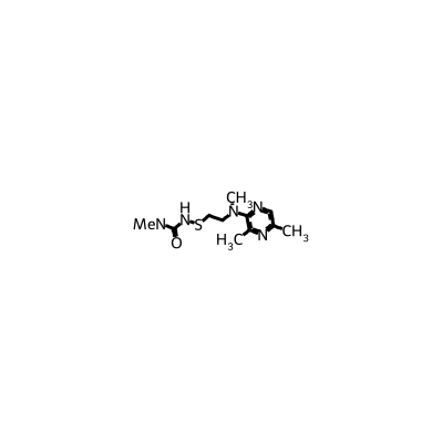 CNC(=O)NSCCN(C)c1ncc(C)nc1C